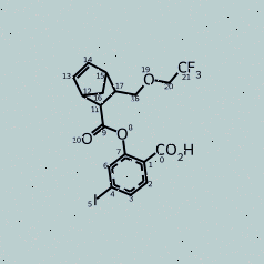 O=C(O)c1ccc(I)cc1OC(=O)C1C2C=CC(C2)C1COCC(F)(F)F